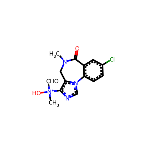 CN1Cc2c([N+](C)(O)C=O)ncn2-c2ccc(Cl)cc2C1=O